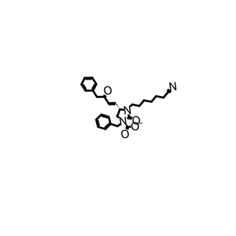 N#CCCCCCCN1C(=O)[N+](Cc2ccccc2)(C(=O)[O-])C[C@@H]1/C=C/C(=O)Cc1ccccc1